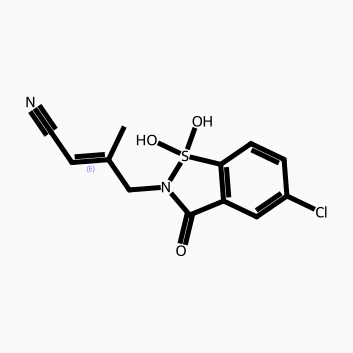 C/C(=C\C#N)CN1C(=O)c2cc(Cl)ccc2S1(O)O